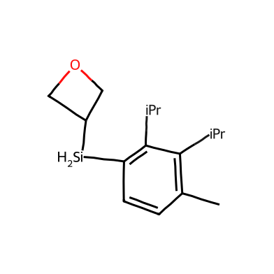 Cc1ccc([SiH2]C2COC2)c(C(C)C)c1C(C)C